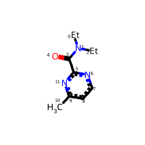 CCN(CC)C(=O)c1nccc(C)n1